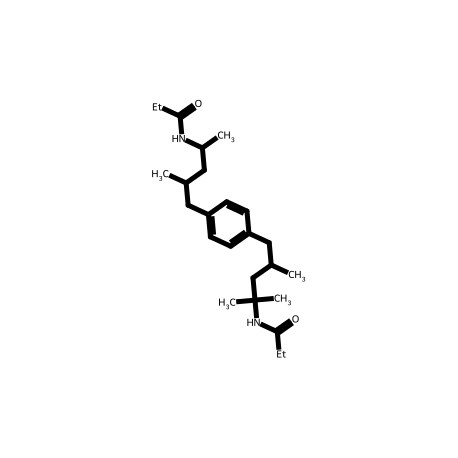 CCC(=O)NC(C)CC(C)Cc1ccc(CC(C)CC(C)(C)NC(=O)CC)cc1